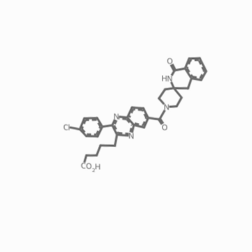 O=C(O)CCCCc1nc2cc(C(=O)N3CCC4(CC3)Cc3ccccc3C(=O)N4)ccc2nc1-c1ccc(Cl)cc1